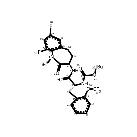 CC(C)N1C(=O)[C@H](NC(=O)[C@@H](Cc2ccccc2OC(F)(F)F)NC(=O)OC(C)(C)C)CCc2cc(F)cc(F)c21